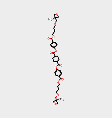 CC1(COCCCCOC(=O)c2ccc(OC(=O)C3CCC(C(=O)Oc4ccc(C(=O)OCCCCOCC5(C)COC5)cc4)CC3)cc2)COC1